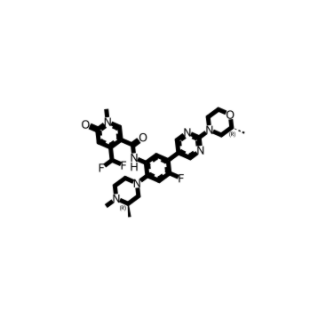 C[C@@H]1CN(c2ncc(-c3cc(NC(=O)c4cn(C)c(=O)cc4C(F)F)c(N4CCN(C)[C@H](C)C4)cc3F)cn2)CCO1